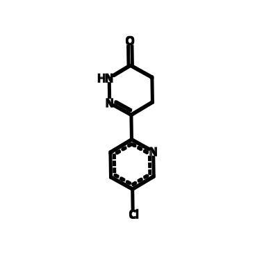 O=C1CCC(c2ccc(Cl)cn2)=NN1